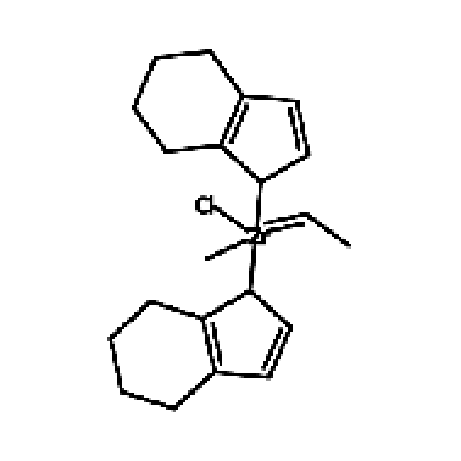 C[CH]=[Zr]([CH3])([Cl])([CH]1C=CC2=C1CCCC2)[CH]1C=CC2=C1CCCC2